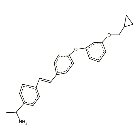 CC(N)c1ccc(/C=C/c2ccc(Oc3cccc(OCC4CC4)c3)cc2)cc1